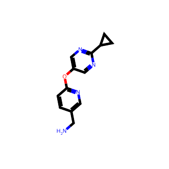 NCc1ccc(Oc2cnc(C3CC3)nc2)nc1